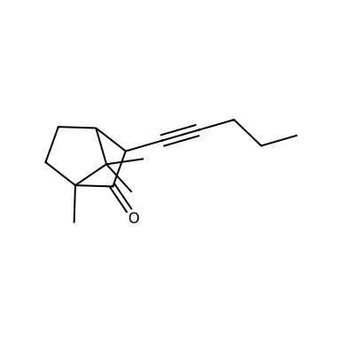 CCCC#CC1C(=O)C2(C)CCC1C2(C)C